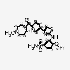 CC(C)Oc1ccc(S(N)(=O)=O)cc1Nc1nc(-c2ccc(C(=O)N3CCCN(C)CC3)nc2)cs1